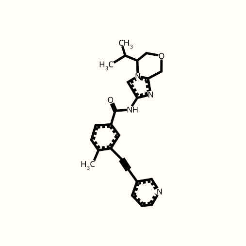 Cc1ccc(C(=O)Nc2cn3c(n2)COCC3C(C)C)cc1C#Cc1cccnc1